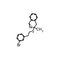 CC1(SCCc2cccc(Br)c2)Cc2ccccc2C=N1